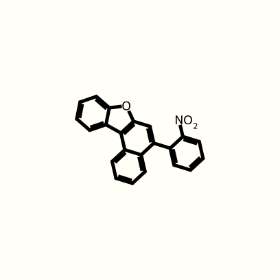 O=[N+]([O-])c1ccccc1-c1cc2oc3ccccc3c2c2ccccc12